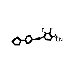 N#CSc1ccc(C#Cc2ccc(-c3ccccc3)cc2)c(F)c1F